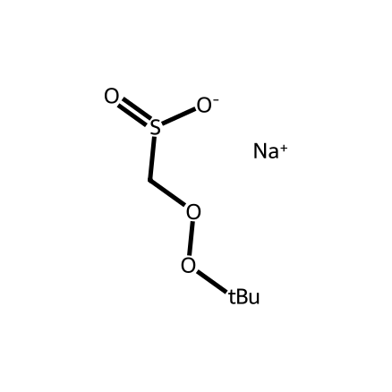 CC(C)(C)OOCS(=O)[O-].[Na+]